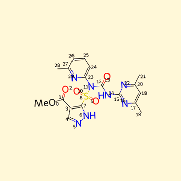 COC(=O)c1cn[nH]c1S(=O)(=O)N(C(=O)Nc1nc(C)cc(C)n1)c1cccc(C)n1